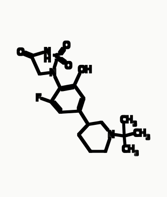 CC(C)(C)N1CCCC(c2cc(O)c(N3CC(=O)NS3(=O)=O)c(F)c2)C1